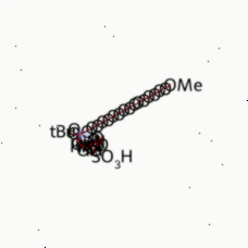 COCCOCCOCCOCCOCCOCCOCOCCOCCOCCOCCOCCOCCOCCOCCOCCOC/C=C(\C)c1cc(NC(=O)[C@H](C)NC(=O)[C@@H](NC(=O)CN2C(=O)[C@@H](N3C(=O)C=CC3=O)C[C@H]2COCCS(=O)(=O)O)C(C)C)ccc1COC(=O)C(C)(C)C